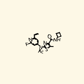 C=Cc1cc(N(C(C)=O)c2nc(C(=O)NC3CCC3)c(C)s2)cc(F)n1